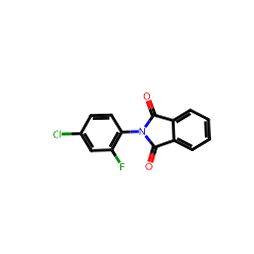 O=C1c2ccccc2C(=O)N1c1ccc(Cl)cc1F